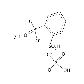 O=P([O-])([O-])O.O=P([O-])([O-])c1ccccc1S(=O)(=O)O.[Zr+4]